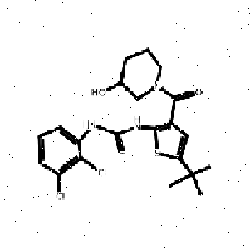 CC(C)(C)c1cc(C(=O)N2CCCC(O)C2)c(NC(=O)Nc2cccc(Cl)c2Cl)s1